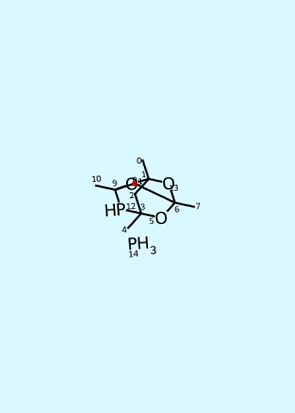 CC12CC3(C)OC(C)(CC(C)(O1)P3)O2.P